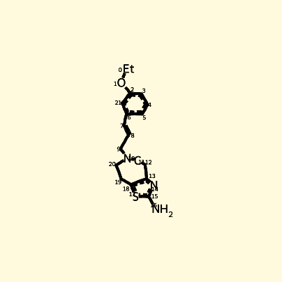 CCOc1cccc(C=CCN2CCc3nc(N)sc3CC2)c1